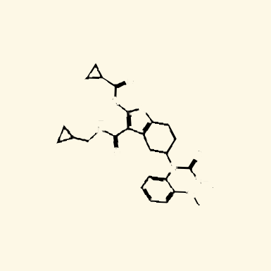 COc1ccccc1N(C(N)=O)C1CCc2sc(NC(=O)C3CC3)c(C(=O)NCC3CC3)c2C1